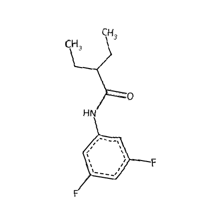 CCC(CC)C(=O)Nc1cc(F)cc(F)c1